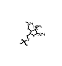 CNCC1C(COC(C)(C)C)CC(O)C1NC